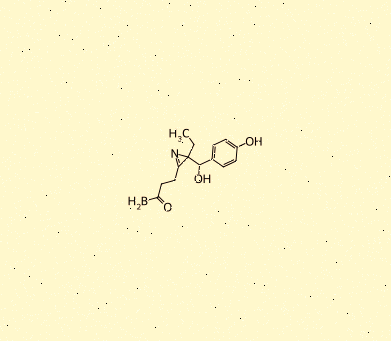 BC(=O)CCC1=NC1(CC)C(O)c1ccc(O)cc1